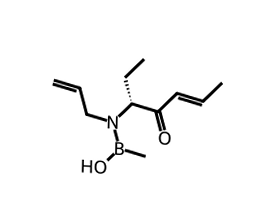 C=CCN(B(C)O)[C@H](CC)C(=O)C=CC